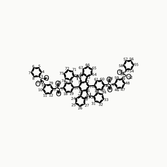 O=S(=O)(c1ccccc1)c1cccc(S(=O)(=O)c2ccc(-c3c4c5ccccc5n(-c5ccccc5)c4c(-c4ccc(S(=O)(=O)c5cccc(S(=O)(=O)c6ccccc6)c5)cc4)c4c5ccccc5n(-c5ccccc5)c34)cc2)c1